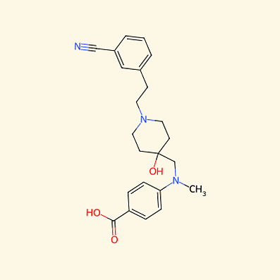 CN(CC1(O)CCN(CCc2cccc(C#N)c2)CC1)c1ccc(C(=O)O)cc1